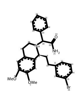 COc1cc2c(cc1OC)[C@H](CCc1cccc(Br)c1)N(C(C(N)=O)c1ccccc1)CC2